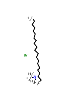 CCCCCCCCCCCCCCCCCCC(CC)[N+](C)(C)C.[Br-]